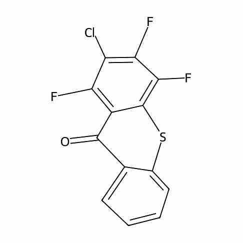 O=c1c2ccccc2sc2c(F)c(F)c(Cl)c(F)c12